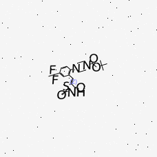 CC(C)(C)OC(=O)N1CCN(c2ccc(C(C)(F)F)cc2/C=C2\SC(=O)NC2=O)CC1